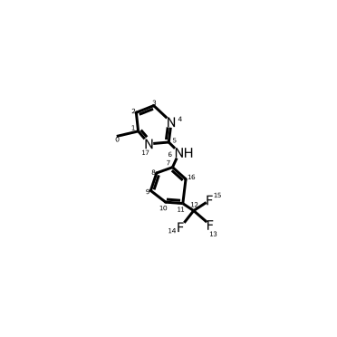 Cc1ccnc(Nc2cccc(C(F)(F)F)c2)n1